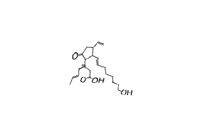 C=CC1CC(=O)C([C@H](CC=CC)CC(=O)O)C1C=CCCCCCCO